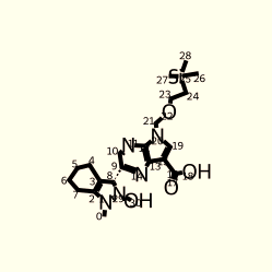 CN1C2=C(CCCC2)[C@H](c2cnc3c(n2)c(C(=O)O)cn3COCC[Si](C)(C)C)N1O